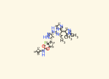 Cc1nc(Nc2cc([C@@H]3CC[C@H](OC(=O)NC45CC(C4)C5)[C@@H]3F)[nH]n2)n2ccnc2c1-c1cnn(C)c1C